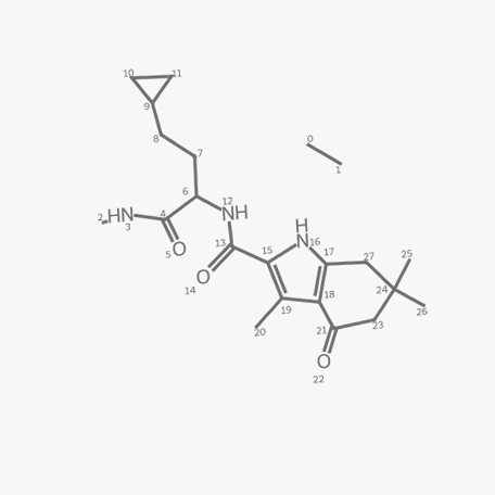 CC.CNC(=O)C(CCC1CC1)NC(=O)c1[nH]c2c(c1C)C(=O)CC(C)(C)C2